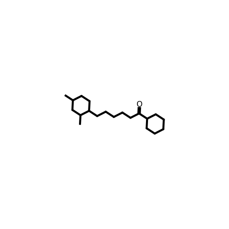 CC1CCC(CCCCCC(=O)C2CCCCC2)C(C)C1